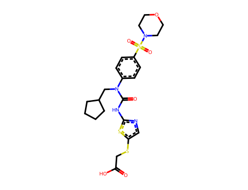 O=C(O)CSc1cnc(NC(=O)N(CC2CCCC2)c2ccc(S(=O)(=O)N3CCOCC3)cc2)s1